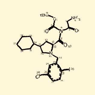 CC(C)(C)OC(=O)N(C(=O)CN)C(=O)[C@@H]1CC(C2CCCCC2)CN1Cc1cc(Cl)ccc1I